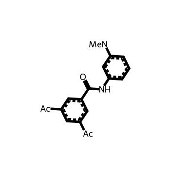 CNc1cccc(NC(=O)c2cc(C(C)=O)cc(C(C)=O)c2)c1